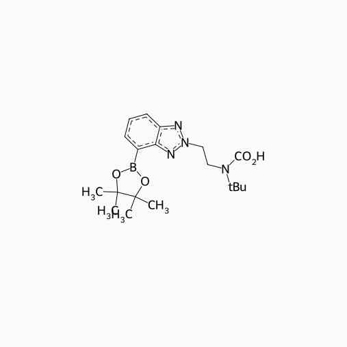 CC(C)(C)N(CCn1nc2cccc(B3OC(C)(C)C(C)(C)O3)c2n1)C(=O)O